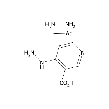 CC(C)=O.NN.NNc1ccncc1C(=O)O